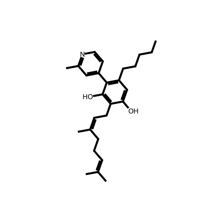 CCCCCc1cc(O)c(CC=C(C)CCC=C(C)C)c(O)c1-c1ccnc(C)c1